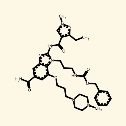 CCc1nn(C)cc1C(=O)Nc1nc2cc(C(N)=O)cc(OCCCN3CCN(C)CC3)c2n1CCCNC(=O)OCc1ccccc1